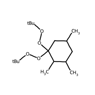 CC1CC(C)C(C)C(OOC(C)(C)C)(OOC(C)(C)C)C1